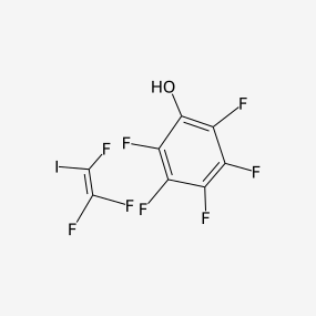 FC(F)=C(F)I.Oc1c(F)c(F)c(F)c(F)c1F